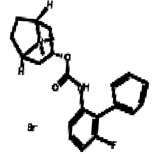 C[N+]1(C)[C@@H]2CC[C@H]1C[C@@H](OC(=O)Nc1cccc(F)c1-c1ccccc1)C2.[Br-]